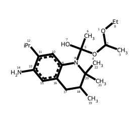 CCOC(C)OC(C)(O)N1c2cc(C(C)C)c(N)cc2CC(C)C1(C)C